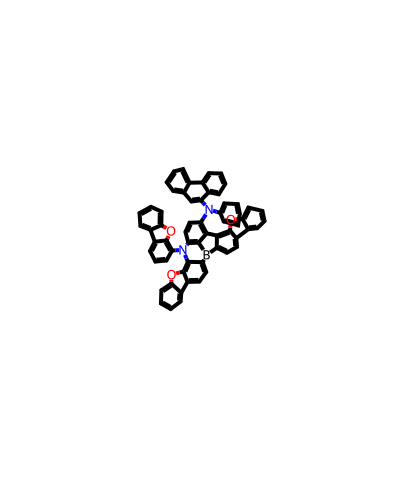 c1ccc(N(c2ccc3c4c2-c2c(ccc5c2oc2ccccc25)B4c2ccc4c(oc5ccccc54)c2N3c2cccc3c2oc2ccccc23)c2cc3ccccc3c3ccccc23)cc1